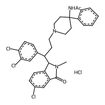 CC(=O)NC1(c2ccccc2)CCN(CCC(c2ccc(Cl)c(Cl)c2)C2c3ccc(Cl)cc3C(=O)N2C)CC1.Cl